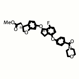 COC(=O)C[C@@H]1COc2cc(O[C@@H]3CCc4c(Oc5ccc(C(=O)N6CCOCC6)cc5)ccc(F)c43)ccc21